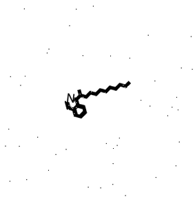 CCCCCCCCCCC(C)c1nccc2ccccc12